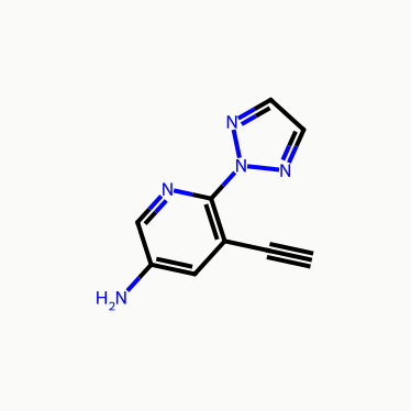 C#Cc1cc(N)cnc1-n1nccn1